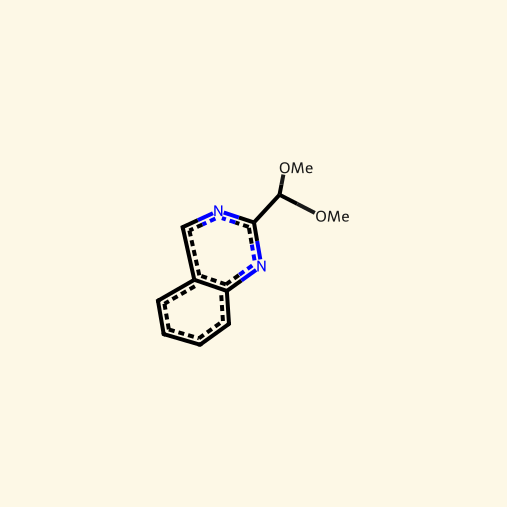 COC(OC)c1ncc2ccccc2n1